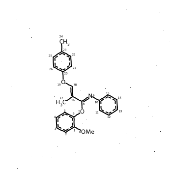 COc1ccccc1OC(=N\c1ccccc1)/C(C)=C/Oc1ccc(C)cc1